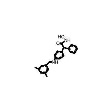 Cc1cc(C)cc(CNc2ccc(C(C(=O)NO)c3ccccc3)cc2)c1